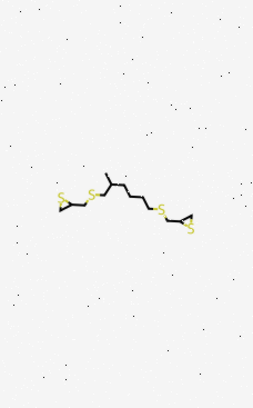 CC(CCCCSCC1CS1)CSCC1CS1